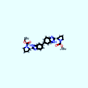 CC(C)(C)OC(=O)N1CCC[C@H]1c1nc2ccc(-c3ccc4nc([C@@H]5CCCN5C(=O)OC(C)(C)C)[nH]c4c3)cc2[nH]1